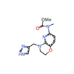 COC(=O)N(C)c1ccc2c(n1)N(Cc1c[nH]cn1)CCO2